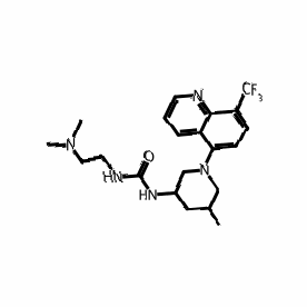 CC1CC(NC(=O)NCCN(C)C)CN(c2ccc(C(F)(F)F)c3ncccc23)C1